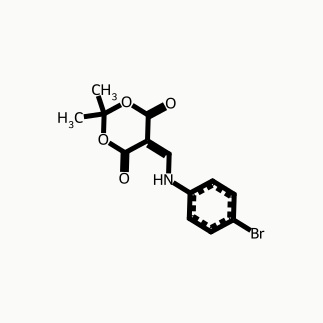 CC1(C)OC(=O)C(=CNc2ccc(Br)cc2)C(=O)O1